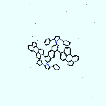 C1=CCCC(c2ccc(-c3ccccc3)n2-c2cc(-c3ccc4c5cccc6cccc(c7cccc3c74)c65)c3cc4cc(-n5c(-c6ccccc6)ccc5C5C=CC=CC5)cc(-c5ccc6c7cccc8cccc(c9cccc5c96)c87)c4cc3c2)=C1